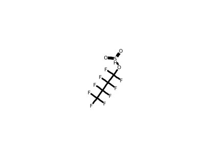 O=[SH](=O)OC(F)(F)C(F)(F)C(F)(F)C(F)(F)F